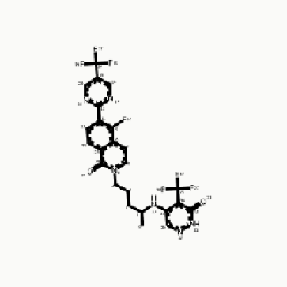 CC(CCCn1ccc2c(F)c(-c3ncc(C(F)(F)F)cn3)ccc2c1=O)Nc1cn[nH]c(=O)c1C(F)(F)F